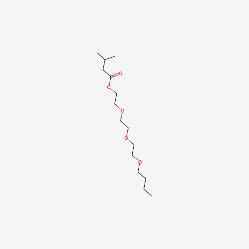 CCCCOCCOCCOCCOC(=O)CC(C)C